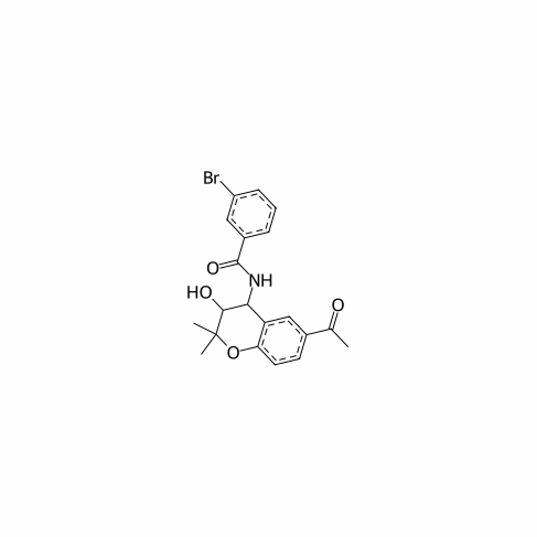 CC(=O)c1ccc2c(c1)C(NC(=O)c1cccc(Br)c1)C(O)C(C)(C)O2